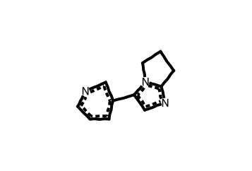 c1cncc(-c2cnc3n2CCC3)c1